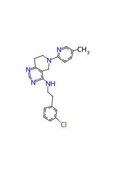 Cc1ccc(N2CCc3ncnc(NCCc4cccc(Cl)c4)c3C2)nc1